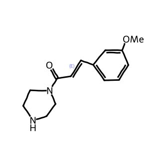 COc1cccc(/C=C/C(=O)N2CCNCC2)c1